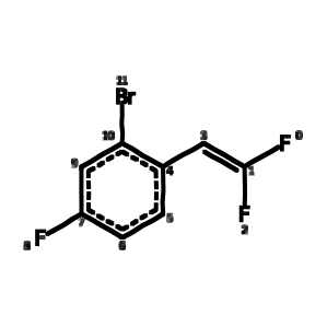 FC(F)=Cc1ccc(F)cc1Br